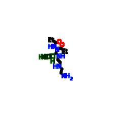 CCC(=O)NN(CNCCNCCN)C(=O)CC.Cl.Cl.Cl